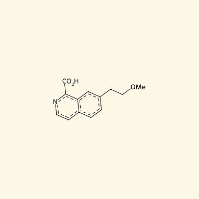 COCCc1ccc2ccnc(C(=O)O)c2c1